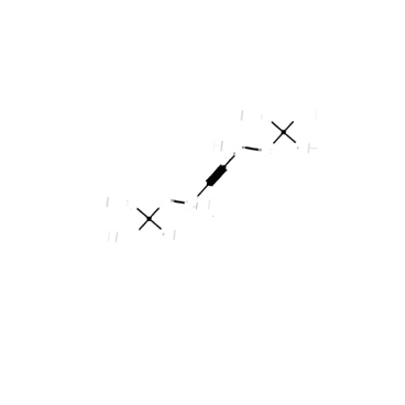 CC(C)(C)O[SiH2]C#C[SiH2]OC(C)(C)C